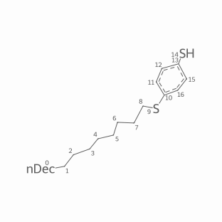 CCCCCCCCCCCCCCCCCCSc1ccc(S)cc1